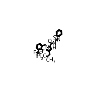 CC(C)Cc1cc(C(=O)Nc2nc3ccccc3s2)n(Cc2cccc(C(F)(F)F)c2F)c1